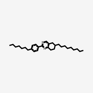 CCCCCCCCCC1CCc2nc(-c3ccc(CCCCCCC)cc3)ncc2C1